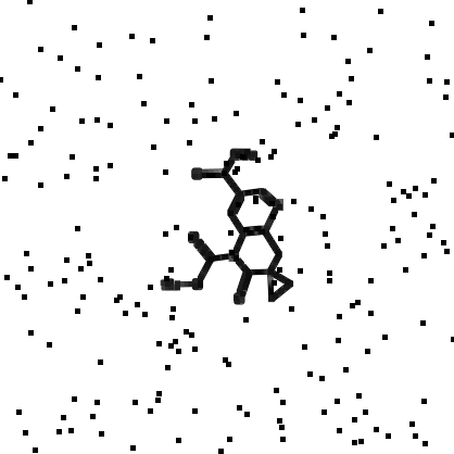 COC(=O)c1cnc2c(c1)N(C(=O)OC(C)(C)C)C(=O)C1(CC1)C2